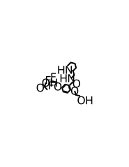 CC(=O)O.O=C(NCC1CCCCN1)c1cc(OCC(F)(F)F)ccc1OCCO